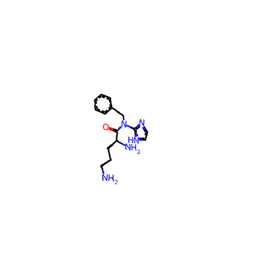 NCCCC(N)C(=O)N(Cc1ccccc1)c1ncc[nH]1